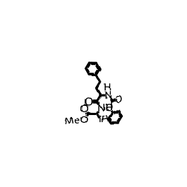 COC(=O)C(NC(=O)C(CCc1ccccc1)NC(=O)Oc1ccccc1)C(C)C